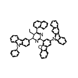 CCC1C(c2cccc3ccccc23)=NC(c2cc(-n3c4ccccc4c4cc5ccccc5cc43)cc3c2oc2ccccc23)=NC1c1ccc2c(c1)c1ccccc1n2-c1ccccc1